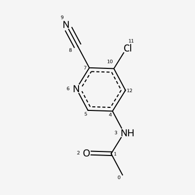 CC(=O)Nc1cnc(C#N)c(Cl)c1